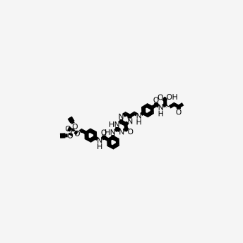 C#COP(=O)(OC#C)OCc1ccc(NC(=O)c2ccccc2Nc2nc(=O)c3nc(CNc4ccc(C(=O)N[C@@H](CCC(C)=O)C(=O)O)cc4)cnc3[nH]2)cc1